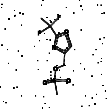 CC(F)(F)c1nc(COS(C)(=O)=O)co1